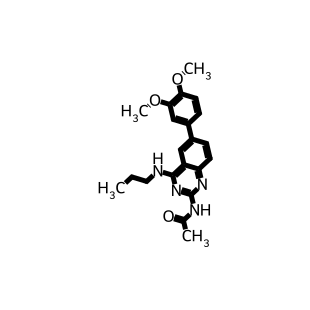 CCCNc1nc(NC(C)=O)nc2ccc(-c3ccc(OC)c(OC)c3)cc12